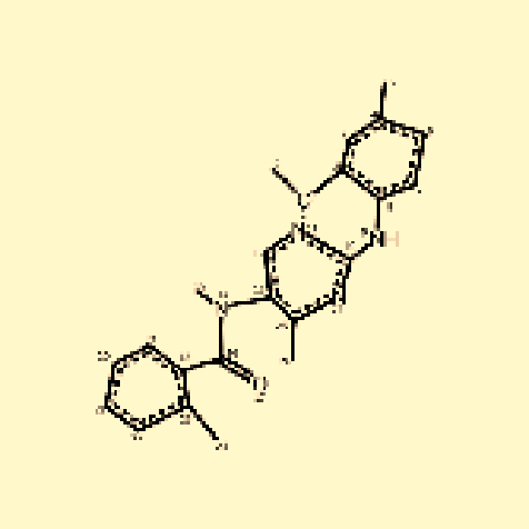 COc1cc(C)ccc1Nc1ncc(N(C)C(=O)c2ccccc2C)c(C)n1